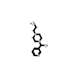 N#CC(c1cccnc1)N1CCN(CCN)CC1